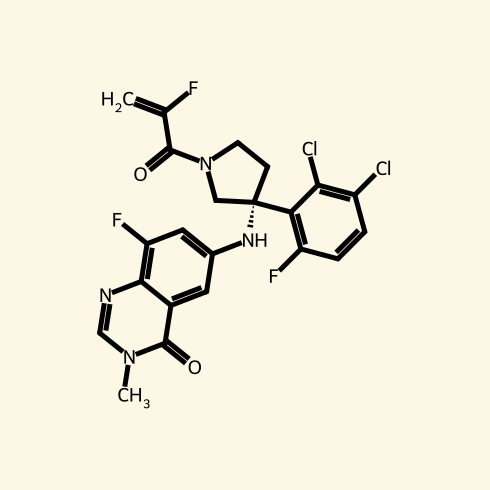 C=C(F)C(=O)N1CC[C@@](Nc2cc(F)c3ncn(C)c(=O)c3c2)(c2c(F)ccc(Cl)c2Cl)C1